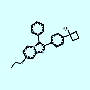 CCOc1ccn2c(-c3ccccc3)c(-c3ccc(C4(N)CCC4)cc3)nc2c1